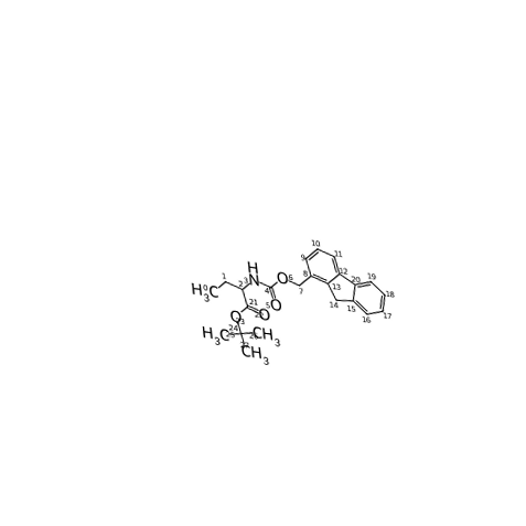 CCC(NC(=O)OCc1cccc2c1Cc1ccccc1-2)C(=O)OC(C)(C)C